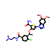 COc1cc2ncn(-c3cc(OC(C)c4cc(C(=O)NCCN(C)C)ccc4Cl)c(C(N)=O)s3)c2cc1OC